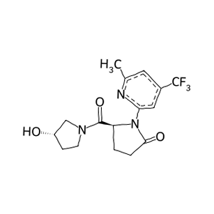 Cc1cc(C(F)(F)F)cc(N2C(=O)CC[C@H]2C(=O)N2CC[C@H](O)C2)n1